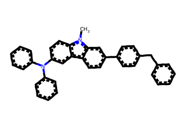 Cn1c2ccc(N(c3ccccc3)c3ccccc3)cc2c2ccc(-c3ccc(Cc4ccccc4)cc3)cc21